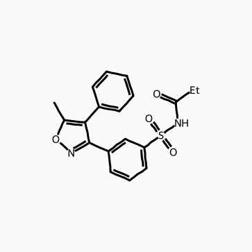 CCC(=O)NS(=O)(=O)c1cccc(-c2noc(C)c2-c2ccccc2)c1